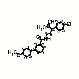 COc1ccc(-c2cccc(C(=O)NCCC(c3ccc(Cl)cc3)N(C)C)c2)cc1